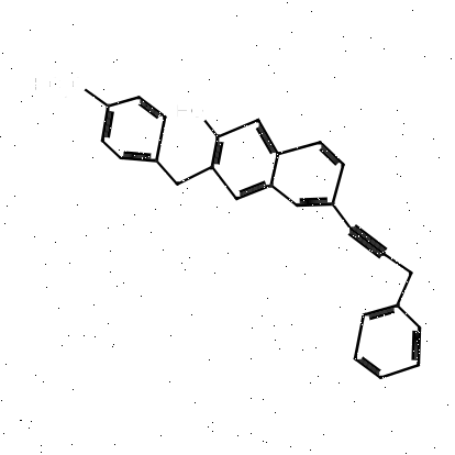 O=C(O)c1ccc(Cc2cc3cc(C#CCc4ccccc4)ccc3cc2O)cc1